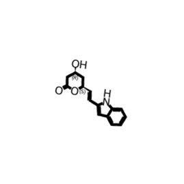 O=C1C[C@H](O)C[C@@H](C=Cc2cc3ccccc3[nH]2)O1